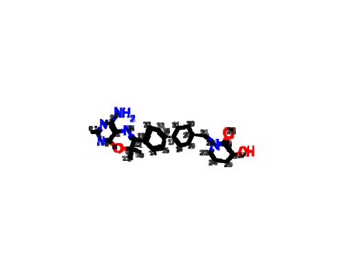 Cc1nc(N)c2c(n1)OC(C)(C)C(c1ccc([C@H]3CC[C@H](CN4CCCC(O)C4=O)CC3)cc1)=N2